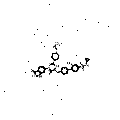 Cc1cc(S(=O)(=O)NC2CC2)ccc1-c1ccc(C[C@H](NC(=O)[C@H]2CC[C@H](CNC(=O)O)CC2)C(=O)Nc2ccc3c(=O)[nH][nH]c3c2)cc1